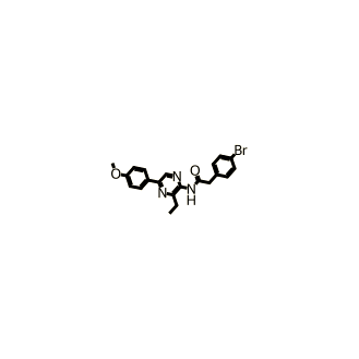 CCc1nc(-c2ccc(OC)cc2)cnc1NC(=O)Cc1ccc(Br)cc1